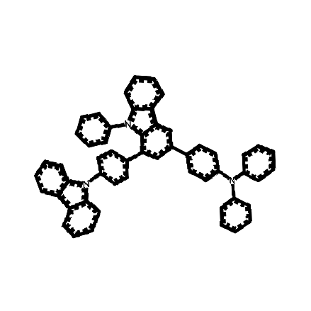 c1ccc(N(c2ccccc2)c2ccc(-c3cc(-c4ccc(-n5c6ccccc6c6ccccc65)cc4)c4c(c3)c3ccccc3n4-c3ccccc3)cc2)cc1